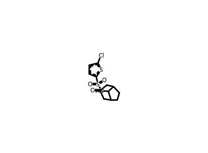 O=C1CC2CCC(C1)C2NS(=O)(=O)c1ccc(Cl)s1